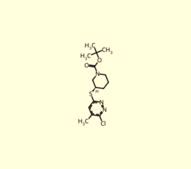 Cc1cc(S[C@@H]2CCCN(C(=O)OC(C)(C)C)C2)nnc1Cl